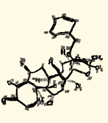 CC1(C)O[C@@H]2C[C@H]3[C@@H]4C[C@H](F)C5=C(Cl)C(=O)C=C[C@]5(C)[C@@]4(Cl)[C@@H](Cl)C[C@]3(C)[C@]2(C(=S)OCc2ccccc2)O1